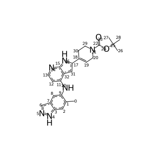 Cc1cc2[nH]ncc2cc1Nc1ccnc2[nH]c(C3=CCN(C(=O)OC(C)(C)C)CC3)cc12